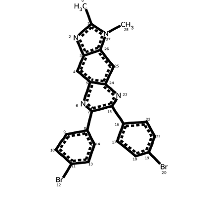 Cc1nc2cc3nc(-c4ccc(Br)cc4)c(-c4ccc(Br)cc4)nc3cc2n1C